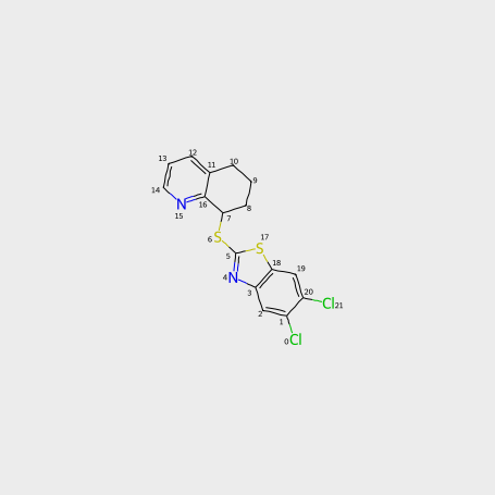 Clc1cc2nc(SC3CCCc4cccnc43)sc2cc1Cl